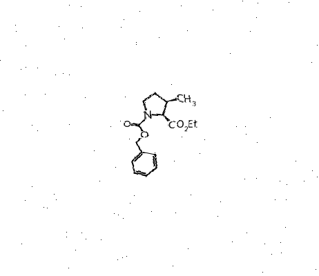 CCOC(=O)[C@@H]1[C@H](C)CCN1C(=O)OCc1ccccc1